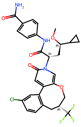 CO[C@H](C[C@@H](C(=O)Nc1ccc(C(N)=O)cc1)n1cc2c(cc1=O)-c1cc(Cl)ccc1C[C@@H](C(F)(F)F)CO2)C1CC1